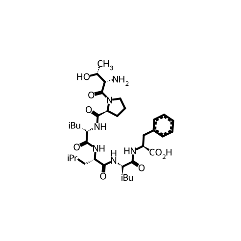 CC[C@H](C)[C@H](NC(=O)[C@H](CC(C)C)NC(=O)[C@@H](NC(=O)[C@@H]1CCCN1C(=O)[C@@H](N)[C@@H](C)O)[C@@H](C)CC)C(=O)N[C@@H](Cc1ccccc1)C(=O)O